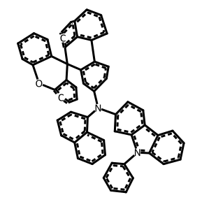 c1ccc(-n2c3ccccc3c3ccc(N(c4ccc5c(c4)C4(c6ccccc6Oc6ccccc64)c4cccc6cccc-5c46)c4cccc5ccccc45)cc32)cc1